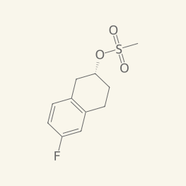 CS(=O)(=O)O[C@@H]1CCc2cc(F)ccc2C1